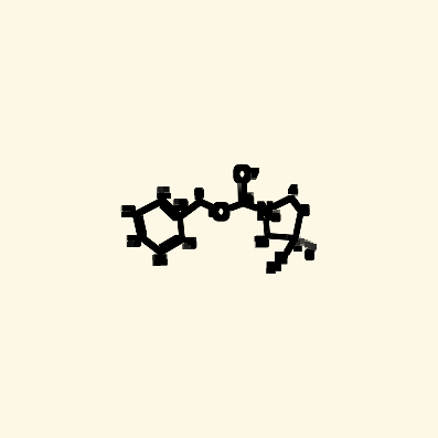 C[C@@]1(F)CCN(C(=O)OCc2ccccc2)C1